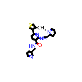 Cc1cscc1-c1ccc(C(=O)NCc2cccnc2)c(NCCc2ccccn2)n1